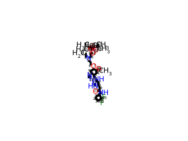 C=CCN(CCCOc1cc2ncnc(Nc3cc(CC(=O)Nc4cccc(F)c4F)[nH]n3)c2cc1OC)CCOP(=O)(OC(C)(C)C)OC(C)(C)C